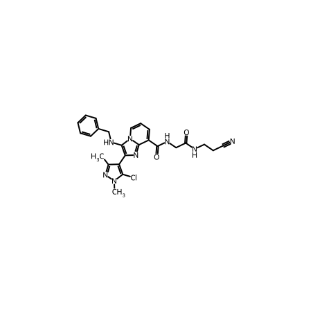 Cc1nn(C)c(Cl)c1-c1nc2c(C(=O)NCC(=O)NCCC#N)cccn2c1NCc1ccccc1